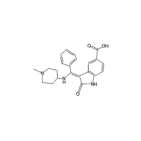 CN1CCC(N/C(=C2\C(=O)Nc3ccc(C(=O)O)cc32)c2ccccc2)CC1